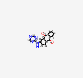 O=C1c2ccccc2C(=O)c2cc(Nc3ncncn3)ccc21